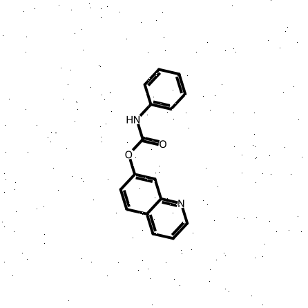 O=C(Nc1ccccc1)Oc1ccc2cccnc2c1